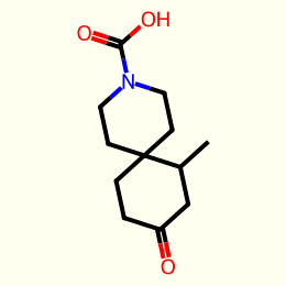 CC1CC(=O)CCC12CCN(C(=O)O)CC2